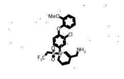 COc1ccccc1Oc1ccc([N+]2(S(=O)(=O)CC(F)(F)F)C=C(CN)C=CC2)cc1Cl